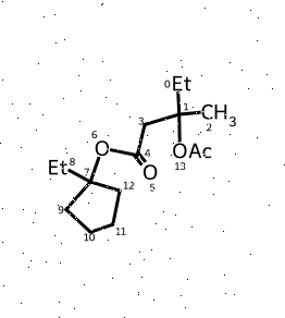 CCC(C)(CC(=O)OC1(CC)CCCC1)OC(C)=O